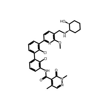 COc1nc(-c2cccc(-c3cccc(NC(=O)c4c(C)cnn(C)c4=O)c3Cl)c2Cl)ccc1CN[C@@H]1CCCC[C@@H]1O